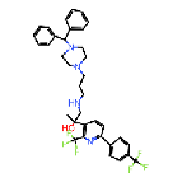 CC(O)(CNCCCN1CCN(C(c2ccccc2)c2ccccc2)CC1)c1ccc(-c2ccc(C(F)(F)F)cc2)nc1C(F)(F)F